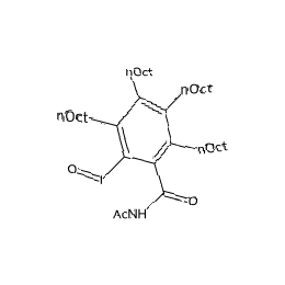 CCCCCCCCc1c(CCCCCCCC)c(CCCCCCCC)c(C(=O)NC(C)=O)c(I=O)c1CCCCCCCC